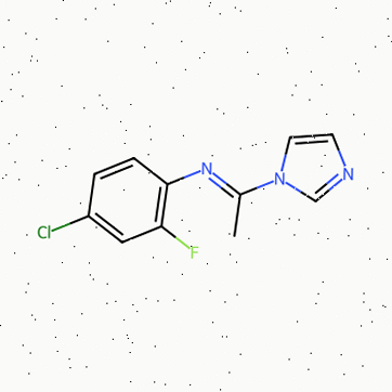 CC(=Nc1ccc(Cl)cc1F)n1ccnc1